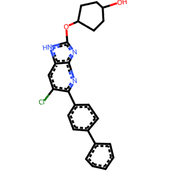 OC1CCC(Oc2nc3nc(-c4ccc(-c5ccccc5)cc4)c(Cl)cc3[nH]2)CC1